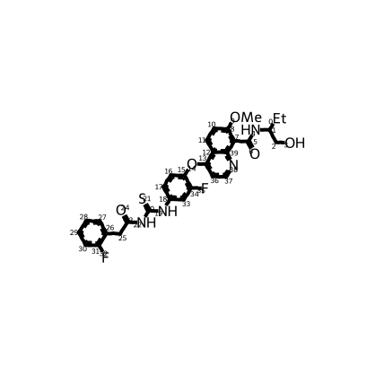 CCC(CO)NC(=O)c1c(OC)ccc2c(Oc3ccc(NC(=S)NC(=O)Cc4ccccc4F)cc3F)ccnc12